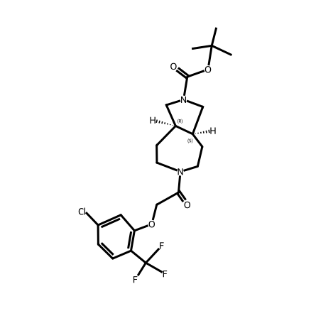 CC(C)(C)OC(=O)N1C[C@H]2CCN(C(=O)COc3cc(Cl)ccc3C(F)(F)F)CC[C@H]2C1